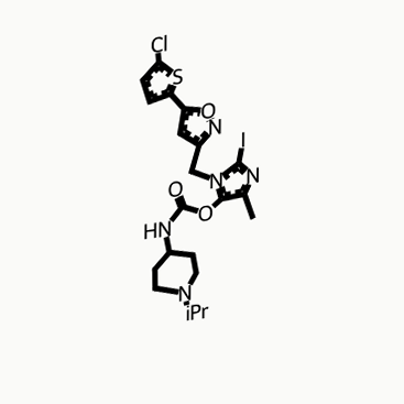 Cc1nc(I)n(Cc2cc(-c3ccc(Cl)s3)on2)c1OC(=O)NC1CCN(C(C)C)CC1